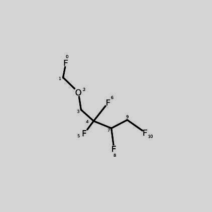 FCOCC(F)(F)C(F)CF